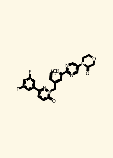 C=C(/C=C(\C=C/C)Cn1nc(-c2cc(F)cc(F)c2)ccc1=O)c1ncc(N2CCOCC2=O)cn1